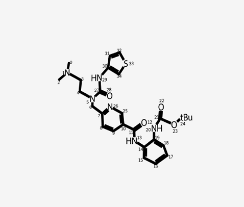 CN(C)CCN(Cc1ccc(C(=O)Nc2ccccc2NC(=O)OC(C)(C)C)cn1)C(=O)Nc1ccsc1